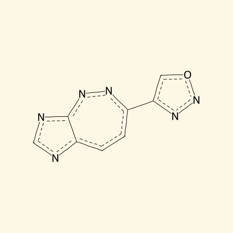 c1nc2ccc(-c3conn3)nnc-2n1